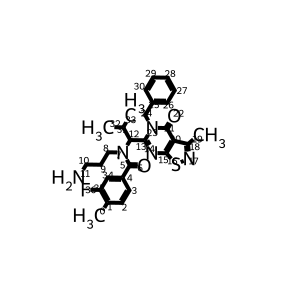 Cc1ccc(C(=O)N(CCCN)C(c2nc3snc(C)c3c(=O)n2Cc2ccccc2)C(C)C)cc1F